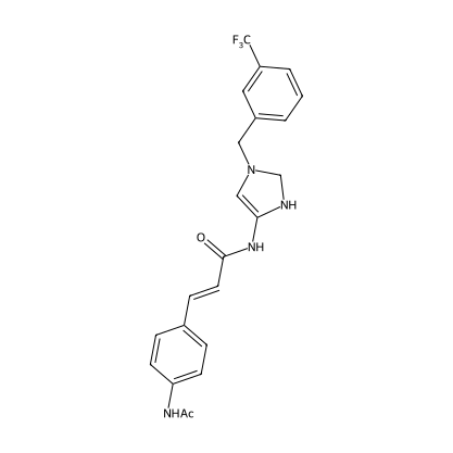 CC(=O)Nc1ccc(/C=C/C(=O)NC2=CN(Cc3cccc(C(F)(F)F)c3)CN2)cc1